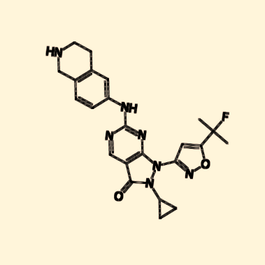 CC(C)(F)c1cc(-n2c3nc(Nc4ccc5c(c4)CCNC5)ncc3c(=O)n2C2CC2)no1